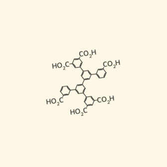 O=C(O)c1cccc(-c2cc(-c3cc(C(=O)O)cc(C(=O)O)c3)cc(-c3cc(-c4cccc(C(=O)O)c4)cc(-c4cc(C(=O)O)cc(C(=O)O)c4)c3)c2)c1